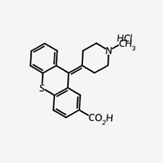 CN1CCC(=C2c3ccccc3Sc3ccc(C(=O)O)cc32)CC1.Cl